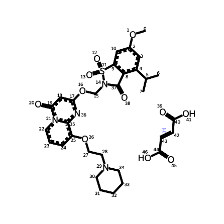 COc1cc(C(C)C)c2c(c1)S(=O)(=O)N(COc1cc(=O)n3cccc(OCCN4CCCCC4)c3n1)C2=O.O=C(O)/C=C/C(=O)O